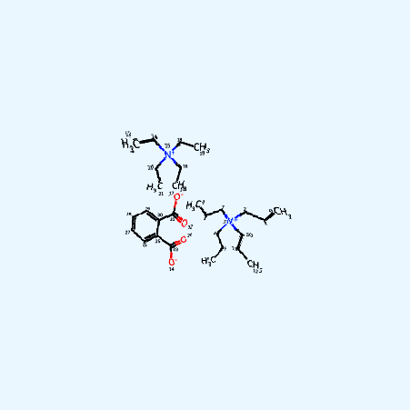 CCC[N+](CCC)(CCC)CCC.CC[N+](CC)(CC)CC.O=C([O-])c1ccccc1C(=O)[O-]